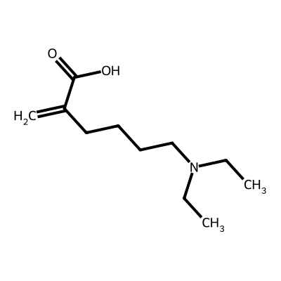 C=C(CCCCN(CC)CC)C(=O)O